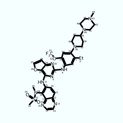 CCc1cc(Nc2nc(Nc3ccc4nccnc4c3N(C)S(C)(=O)=O)c3occc3n2)c(OC(F)(F)F)cc1N1CCC(N2CCN(C)CC2)CC1